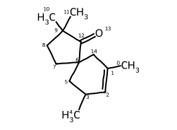 CC1=CC(C)CC2(CCC(C)(C)C2=O)C1